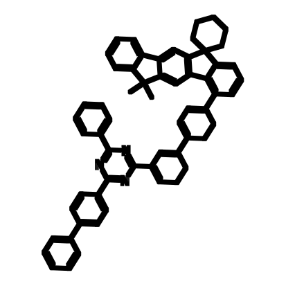 CC1(C)c2ccccc2-c2cc3c(cc21)-c1c(C2=CC=C(C4=CC(c5nc(-c6ccccc6)nc(-c6ccc(-c7ccccc7)cc6)n5)=CCC4)CC2)cccc1C31CCCCC1